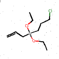 C=CC[Si](CCCCl)(OCC)OCC